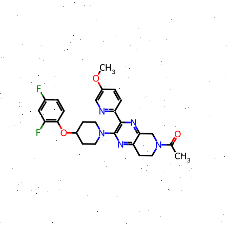 COc1ccc(-c2nc3c(nc2N2CCC(Oc4ccc(F)cc4F)CC2)CCN(C(C)=O)C3)nc1